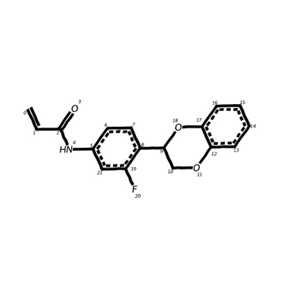 C=CC(=O)Nc1ccc(C2COc3ccccc3O2)c(F)c1